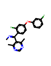 C/N=C(/c1ccc(Oc2cccc(F)c2)cc1F)c1c(C)ncnc1C